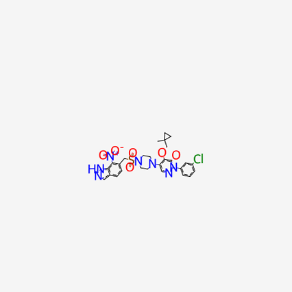 CC1(COc2c(N3CCN(S(=O)(=O)Cc4ccc5cn[nH]c5c4[N+](=O)[O-])CC3)cnn(-c3cccc(Cl)c3)c2=O)CC1